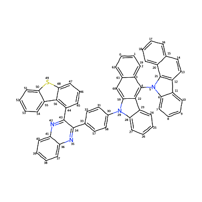 c1ccc2c(-n3c4ccccc4c4ccc5ccccc5c43)c3c4ccccc4n(-c4ccc(-c5nc6ccccc6nc5-c5cccc6sc7ccccc7c56)cc4)c3cc2c1